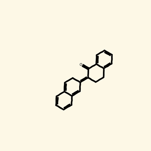 O=C1C(=C2C=c3ccccc3=CC2)CCc2ccccc21